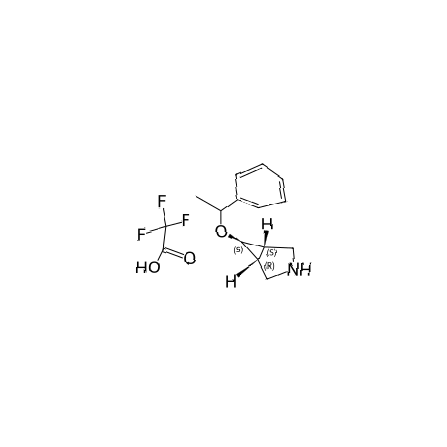 CC(O[C@H]1[C@@H]2CNC[C@@H]21)c1ccccc1.O=C(O)C(F)(F)F